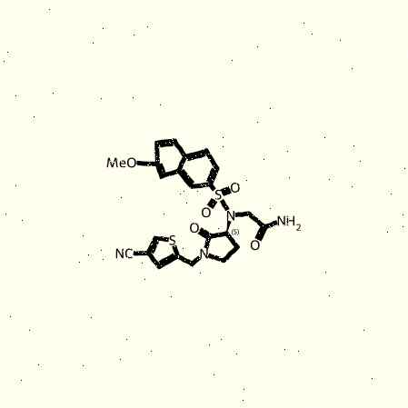 COc1ccc2ccc(S(=O)(=O)N(CC(N)=O)[C@H]3CCN(Cc4cc(C#N)cs4)C3=O)cc2c1